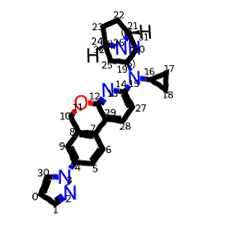 c1cnn(-c2ccc3c(c2)COc2nc(N(C4CC4)[C@@H]4C[C@H]5CC[C@@H](C4)N5)ccc2-3)c1